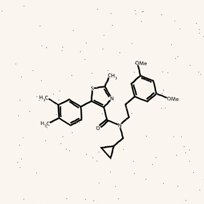 COc1cc(CCN(CC2CC2)C(=O)c2nc(C)sc2-c2ccc(C)c(C)c2)cc(OC)c1